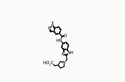 Cn1ncc2cc(C(=O)Nc3ccc4[nH]c(CN5CCC(CC(=O)O)C5)nc4c3)ccc21